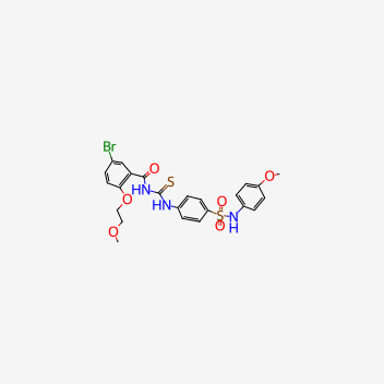 COCCOc1ccc(Br)cc1C(=O)NC(=S)Nc1ccc(S(=O)(=O)Nc2ccc(OC)cc2)cc1